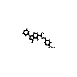 COc1ccc(CNC(=O)c2cnc3c(c(C)nn3-c3ccccc3)c2Cl)cc1